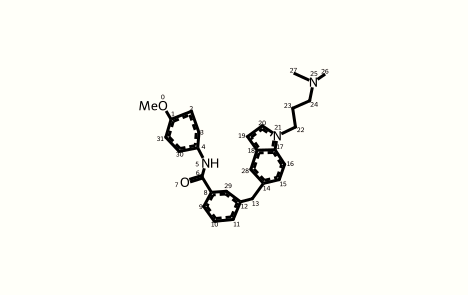 COc1ccc(NC(=O)c2cccc(Cc3ccc4c(ccn4CCCN(C)C)c3)c2)cc1